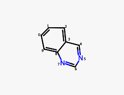 [c]1ccc2cncnc2c1